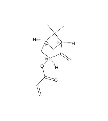 C=CC(=O)O[C@H]1C[C@@H]2C[C@H](C1=C)C2(C)C